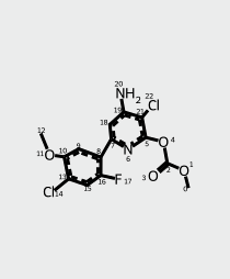 COC(=O)Oc1nc(-c2cc(OC)c(Cl)cc2F)cc(N)c1Cl